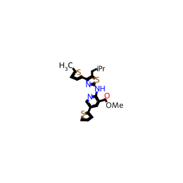 COC(=O)c1cc(-c2cccs2)cnc1Nc1nc(-c2ccc(C)s2)c(CC(C)C)s1